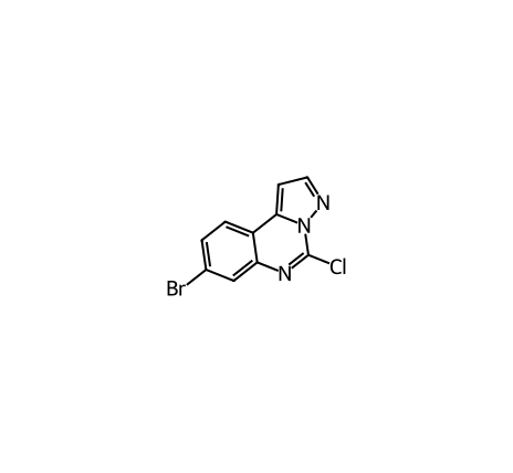 Clc1nc2cc(Br)ccc2c2ccnn12